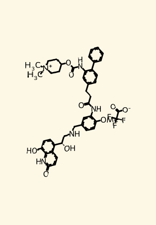 COc1ccc(CNC[C@H](O)c2ccc(O)c3[nH]c(=O)ccc23)cc1NC(=O)CCc1ccc(-c2ccccc2)c(NC(=O)OC2CC[N+](C)(C)CC2)c1.O=C([O-])C(F)(F)F